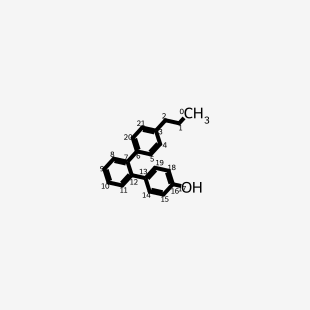 CCCc1ccc(-c2ccccc2-c2ccc(O)cc2)cc1